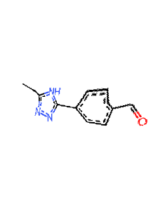 Cc1nnc(-c2ccc(C=O)cc2)[nH]1